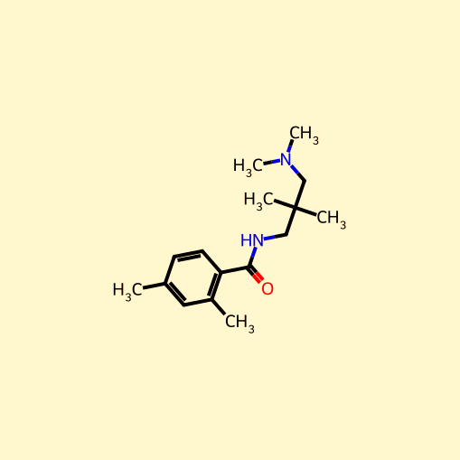 Cc1ccc(C(=O)NCC(C)(C)CN(C)C)c(C)c1